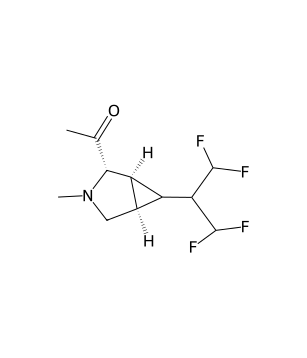 CC(=O)[C@@H]1[C@H]2C(C(C(F)F)C(F)F)[C@H]2CN1C